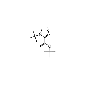 C=C(OC(C)(C)C)C1=CSCN1C(C)(C)C